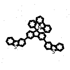 c1ccc(C2(n3c4ccccc4c4ccccc43)c3ccc(-c4ccc5sc6ccccc6c5c4)cc3-c3cc(-c4ccc5sc6ccccc6c5c4)ccc32)cc1